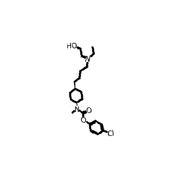 CCN(CCO)CCCC[C@H]1CC[C@H](N(C)C(=O)Oc2ccc(Cl)cc2)CC1